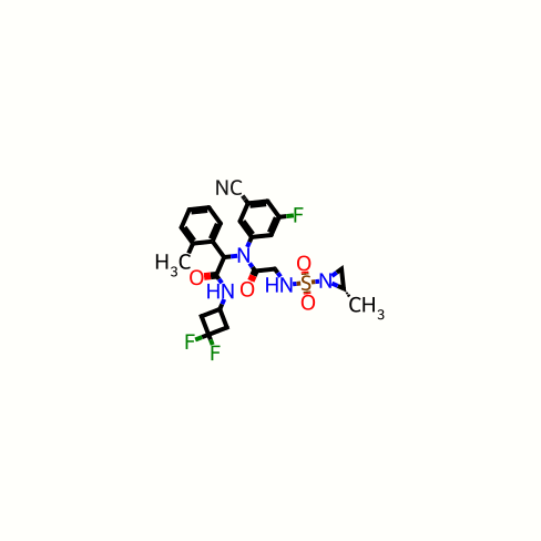 Cc1ccccc1C(C(=O)NC1CC(F)(F)C1)N(C(=O)CNS(=O)(=O)N1C[C@@H]1C)c1cc(F)cc(C#N)c1